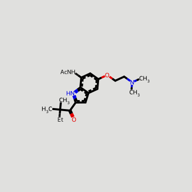 CCC(C)(C)C(=O)c1cc2cc(OCCN(C)C)cc(NC(C)=O)c2[nH]1